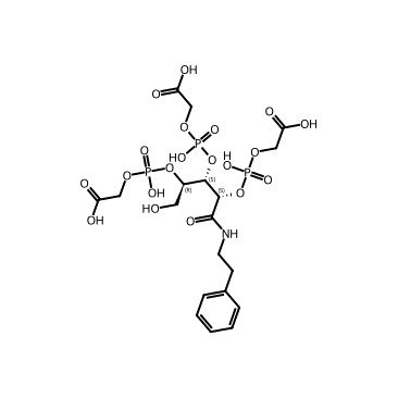 O=C(O)COP(=O)(O)O[C@H]([C@H](OP(=O)(O)OCC(=O)O)C(=O)NCCc1ccccc1)[C@@H](CO)OP(=O)(O)OCC(=O)O